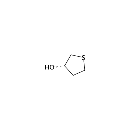 O[C@H]1CCSC1